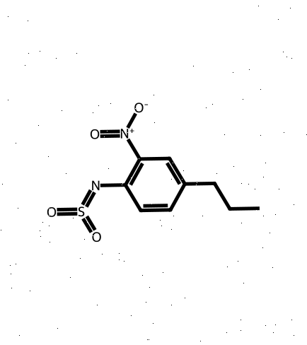 CCCc1ccc(N=S(=O)=O)c([N+](=O)[O-])c1